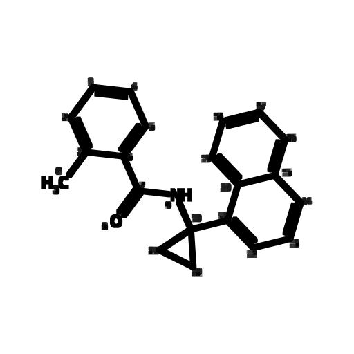 Cc1ccccc1C(=O)NC1(c2cccc3ccccc23)CC1